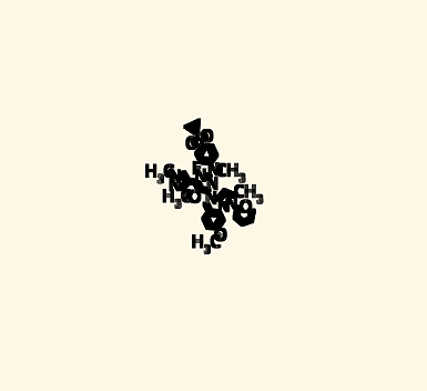 COc1ccc(CN(c2cc(C)n(C3CCCCO3)n2)c2nc(N(C)c3ccc(S(=O)(=O)C4CC4)cc3F)nc(-c3cnn(C)c3)c2OC)cc1